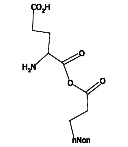 CCCCCCCCCCCC(=O)OC(=O)C(N)CCC(=O)O